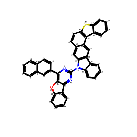 c1ccc2cc(-c3nc(-n4c5ccccc5c5cc6c(ccc7sc8ccccc8c76)cc54)nc4c3oc3ccccc34)ccc2c1